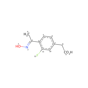 CC(=NO)c1ccc(CC(=O)O)cc1F